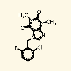 Cn1c(=O)c2c(ncn2Cc2c(F)cccc2Cl)n(C)c1=O